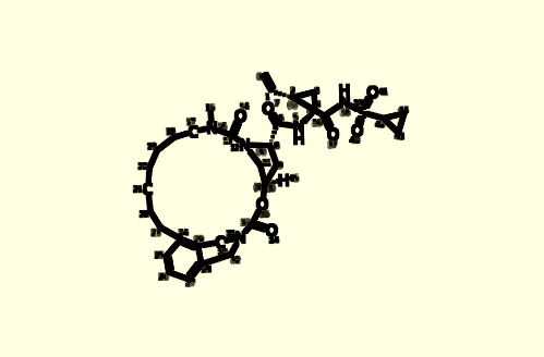 C=C[C@@H]1C[C@]1(NC(=O)[C@@H]1C[C@@H]2CN1C(=O)N(C)CCCCCCCc1cccc3c1CN(C3)C(=O)O2)C(=O)NS(=O)(=O)C1CC1